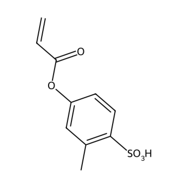 C=CC(=O)Oc1ccc(S(=O)(=O)O)c(C)c1